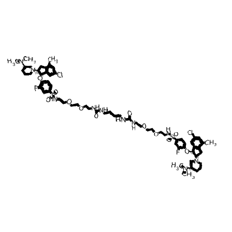 Cc1cc(Cl)cc2c1C[C@H](N1CCC[C@@H](N(C)C)C1)[C@H]2Oc1ccc(S(=O)(=O)NCCOCCOCCNC(=O)NCCCCNC(=O)NCCOCCOCCNS(=O)(=O)c2ccc(O[C@H]3c4cc(Cl)cc(C)c4C[C@@H]3N3CCC[C@@H](N(C)C)C3)c(F)c2)cc1F